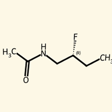 CC[C@@H](F)CNC(C)=O